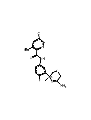 CCC(C)c1cc(Cl)cnc1C(=O)Nc1ccc(F)c([C@]2(C)COCC(N)=N2)c1